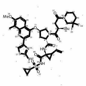 C=CC1C[C@]1(NC(=O)[C@@H]1C[C@@H](Oc2cc(-c3csc(C(C)C)n3)nc3c(C)c(OC)ccc23)CN1C(=O)[C@@H](CC(=O)N1CCCC(F)(F)C1)C(C)(C)C)C(=O)NS(=O)(=O)C1CC1